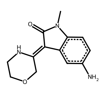 CN1C(=O)/C(=C2/COCCN2)c2cc(N)ccc21